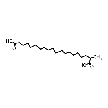 CC(CCCCCCCCCCCCCCCCCC(=O)O)C(=O)O